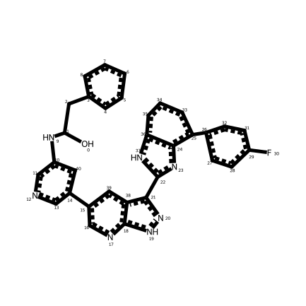 OC(Cc1ccccc1)Nc1cncc(-c2cnc3[nH]nc(-c4nc5c(-c6ccc(F)cc6)cccc5[nH]4)c3c2)c1